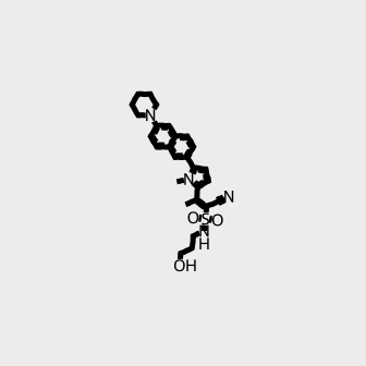 C/C(=C(/C#N)S(=O)(=O)NCCCO)c1ccc(-c2ccc3cc(N4CCCCC4)ccc3c2)n1C